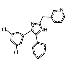 Clc1cc(Cl)cc(-c2nc(Cc3cccnc3)[nH]c2-c2ccccc2)c1